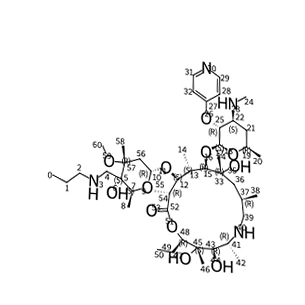 CCCNC[C@]1(O)[C@H](C)O[C@@H](O[C@H]2[C@H](C)[C@@H](O[C@@H]3O[C@H](C)C[C@H](NC)[C@H]3Oc3ccncc3)[C@](C)(O)C[C@@H](C)CN[C@H](C)[C@@H](O)[C@](C)(O)[C@@H](CC)OC(=O)[C@@H]2C)C[C@@]1(C)OC